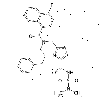 CN(C)S(=O)(=O)NC(=O)c1csc(CN(CCCc2ccccc2)C(=O)c2ccc(F)c3ccccc23)n1